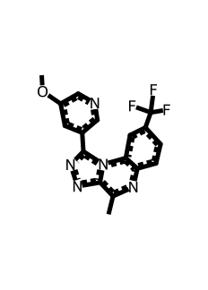 COc1cncc(-c2nnc3c(C)nc4ccc(C(F)(F)F)cc4n23)c1